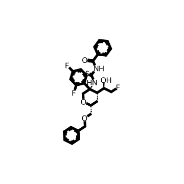 O=C(NC(=S)N[C@@]1(c2ccc(F)cc2F)CO[C@@H](COCc2ccccc2)C[C@H]1[C@@H](O)CF)c1ccccc1